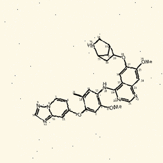 COc1cc(Oc2ccn3ncnc3c2)c(C)cc1Nc1ncnc2cc(OC)c(OC3CC4CC3CN4)cc12